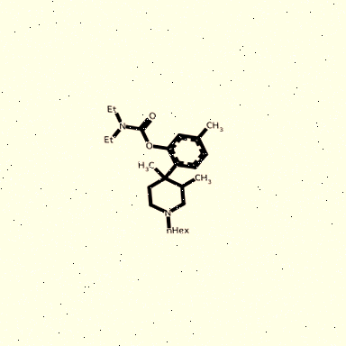 CCCCCCN1CCC(C)(c2ccc(C)cc2OC(=O)N(CC)CC)C(C)C1